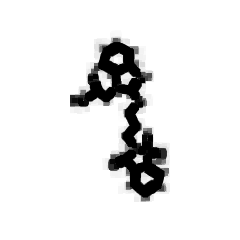 O=C(O)Cn1c(SCCCN2C(=O)c3ccccc3S2(=O)=O)nc2ccccc21